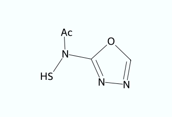 CC(=O)N(S)c1nnco1